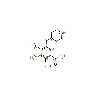 Cc1c(CC2CCNCC2)cc(C(=O)O)c(C)c1C